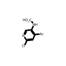 CC(=O)c1cc(Cl)ncc1NC(=O)O